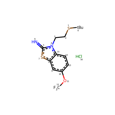 CC(C)(C)SCCn1c(=N)sc2cc(OC(F)(F)F)ccc21.Cl